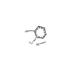 CCCCc1cccc[n+]1C.N#C[S-]